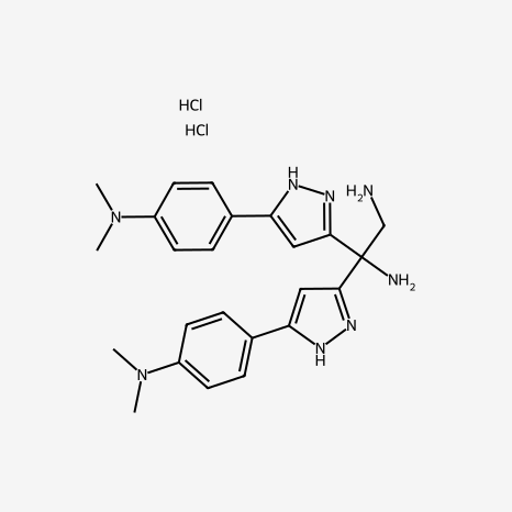 CN(C)c1ccc(-c2cc(C(N)(CN)c3cc(-c4ccc(N(C)C)cc4)[nH]n3)n[nH]2)cc1.Cl.Cl